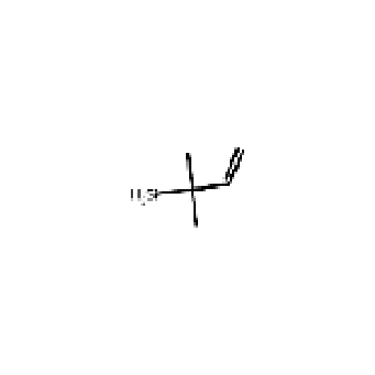 C=CC(C)(C)[SiH3]